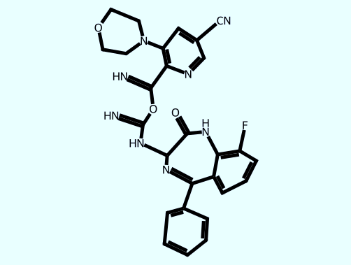 N#Cc1cnc(C(=N)OC(=N)NC2N=C(c3ccccc3)c3cccc(F)c3NC2=O)c(N2CCOCC2)c1